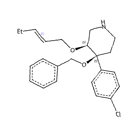 CC/C=C/CO[C@H]1CNCC[C@]1(OCc1ccccc1)c1ccc(Cl)cc1